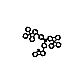 c1ccc(C2(c3ccccc3)c3ccccc3-c3ccc(N(c4ccc(-c5cccc6c5-c5ccccc5C6(c5ccccc5)c5ccccc5)cc4)c4ccc(-c5cccc6c5sc5ccccc56)cc4)cc32)cc1